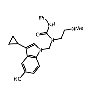 CNCCN(Cn1cc(C2CC2)c2cc(C#N)ccc21)C(=O)NC(C)C